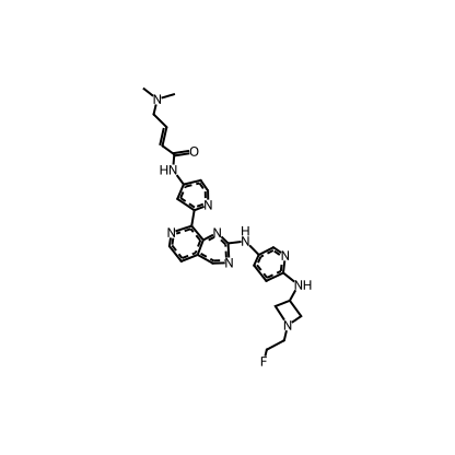 CN(C)C/C=C/C(=O)Nc1ccnc(-c2nccc3cnc(Nc4ccc(NC5CN(CCF)C5)nc4)nc23)c1